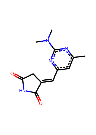 Cc1cc(/C=C2\CC(=O)NC2=O)nc(N(C)C)n1